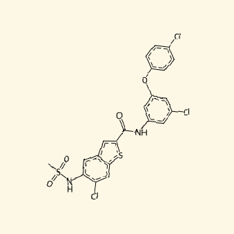 CS(=O)(=O)Nc1cc2cc(C(=O)Nc3cc(Cl)cc(Oc4ccc(Cl)cc4)c3)sc2cc1Cl